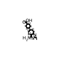 Nc1nc(I)nc2c1N=C[C@@H](C1CCC(C(=O)O)CC1)CC2